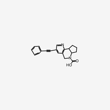 O=C(O)N1Cc2cc(C#Cc3ccccc3)cnc2C2CCCC21